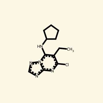 CCc1c(Cl)nc2ncnn2c1NC1CCCC1